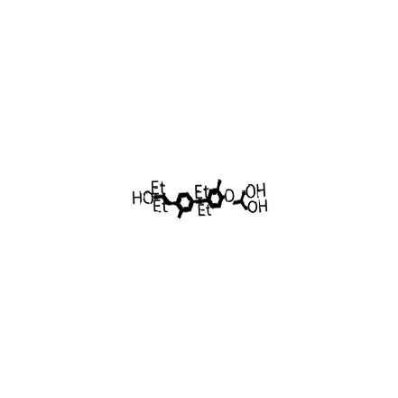 CCC(O)(/C=C/c1ccc(C(CC)(CC)c2ccc(OCC(CO)CO)c(C)c2)cc1C)CC